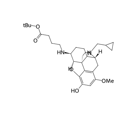 COc1cc(O)c2c3c1C[C@@H]1[C@@H]4CC[C@H](NCCCC(=O)OC(C)(C)C)[C@H](O2)[C@]34CCN1CC1CC1